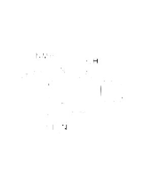 CNC(=O)C1=NC(C(O)c2ccccc2)=CC(C(N)=O)(C2CC2)C1